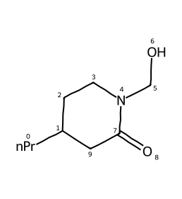 CCCC1CCN(CO)C(=O)C1